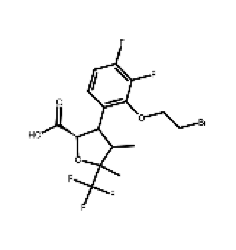 CC1C(c2ccc(F)c(F)c2OCCBr)[C@H](C(=O)O)OC1(C)C(F)(F)F